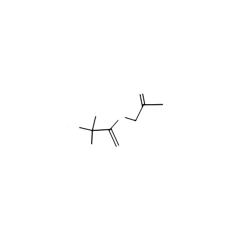 CCC(C)(C)C(=O)OCC(=O)C(C)(C)C